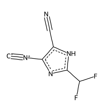 [C-]#[N+]c1nc(C(F)F)[nH]c1C#N